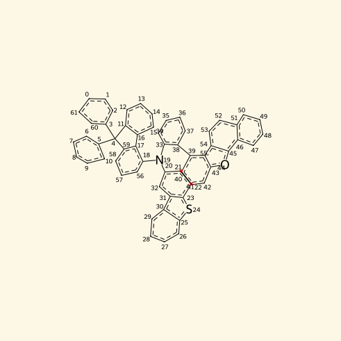 c1ccc(C2(c3ccccc3)c3ccccc3-c3c(N(c4ccc5sc6ccccc6c5c4)c4ccccc4-c4cccc5oc6c7ccccc7ccc6c45)cccc32)cc1